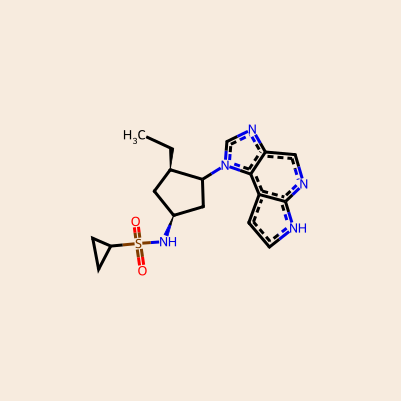 CC[C@@H]1C[C@H](NS(=O)(=O)C2CC2)CC1n1cnc2cnc3[nH]ccc3c21